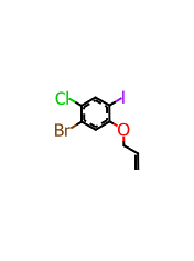 C=CCOc1cc(Br)c(Cl)cc1I